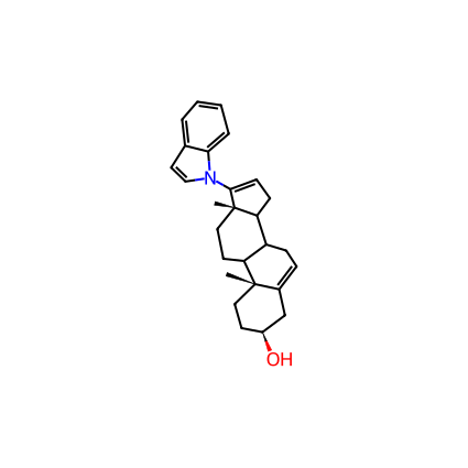 C[C@]12CC[C@H](O)CC1=CCC1C2CC[C@]2(C)C(n3ccc4ccccc43)=CCC12